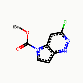 CC(C)(C)OC(=O)n1ccc2nnc(Cl)cc21